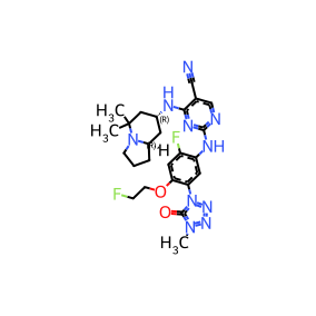 Cn1nnn(-c2cc(Nc3ncc(C#N)c(N[C@@H]4C[C@H]5CCCN5C(C)(C)C4)n3)c(F)cc2OCCF)c1=O